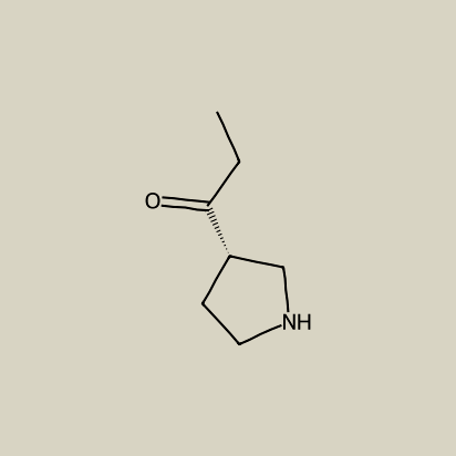 CCC(=O)[C@H]1CCNC1